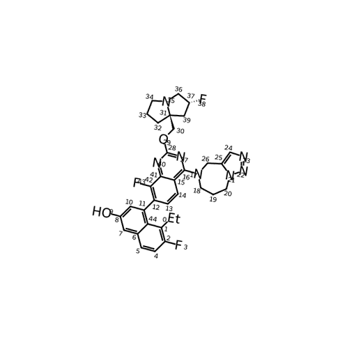 CCc1c(F)ccc2cc(O)cc(-c3ccc4c(N5CCCn6nncc6C5)nc(OC[C@@]56CCCN5C[C@H](F)C6)nc4c3F)c12